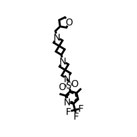 Cc1cc(C(F)(F)F)nc(C)c1S(=O)(=O)N1CC2(CN(C3CC4(C3)CN(CC3CCOC3)C4)C2)C1